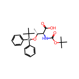 C[C@@H](O[Si](c1ccccc1)(c1ccccc1)C(C)(C)C)[C@H](NC(=O)OC(C)(C)C)C(=O)O